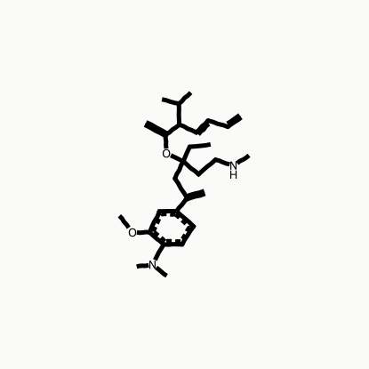 C=CC=CC(C(=C)OC(CC)(CCNC)CC(=C)c1ccc(N(C)C)c(OC)c1)C(C)C